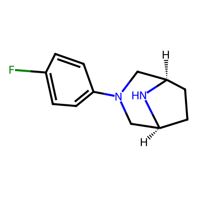 Fc1ccc(N2C[C@H]3CC[C@@H](C2)N3)cc1